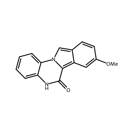 COc1ccc2cn3c4ccccc4[nH]c(=O)c3c2c1